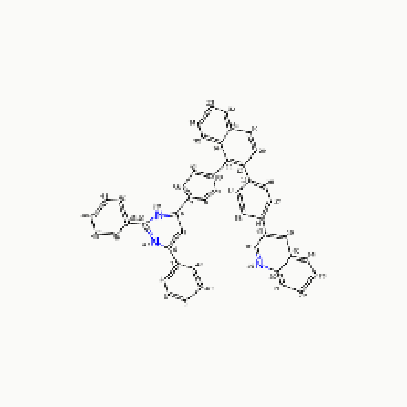 c1ccc(-c2cc(-c3ccc(-c4c(-c5ccc(-c6cnc7ccccc7c6)cc5)ccc5ccccc45)cc3)nc(-c3ccccc3)n2)cc1